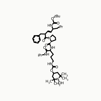 CC(C)CC(/C=C/C(Cc1ccccc1)C(=O)N1CCC[C@H]1C(=O)NC(CCCNC(=O)OC1CC(C)(C)N(O)C(C)(C)C1)C(=O)NC(C)C)NC(=O)OC(C)(C)C